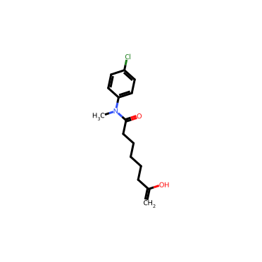 C=C(O)CCCCCC(=O)N(C)c1ccc(Cl)cc1